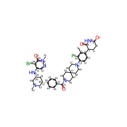 Cc1c(C2CCC(=O)NC2=O)ccc(N2CCC3(CCN(C(=O)c4ccc([C@H]5C[C@@H](Nc6cnn(C)c(=O)c6Br)CN(C)C5)cc4)CC3)CC2)c1F